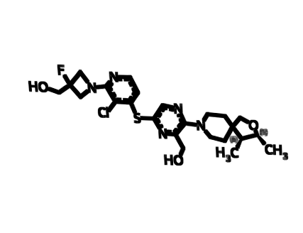 C[C@@H]1OCC2(CCN(c3ncc(Sc4ccnc(N5CC(F)(CO)C5)c4Cl)nc3CO)CC2)[C@@H]1C